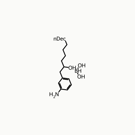 CCCCCCCCCCCCCCC(O)Cc1cccc(N)c1.OBO